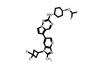 Cc1nc2ncc(-c3ccn4nc(N[C@H]5CC[C@H](OC(F)F)CC5)ncc34)cc2n1C1CC(F)(F)C1